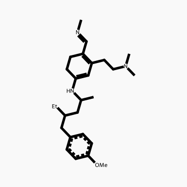 CCC(Cc1ccc(OC)cc1)CC(C)NC1=CC(CCN(C)C)=C(C=NC)CC1